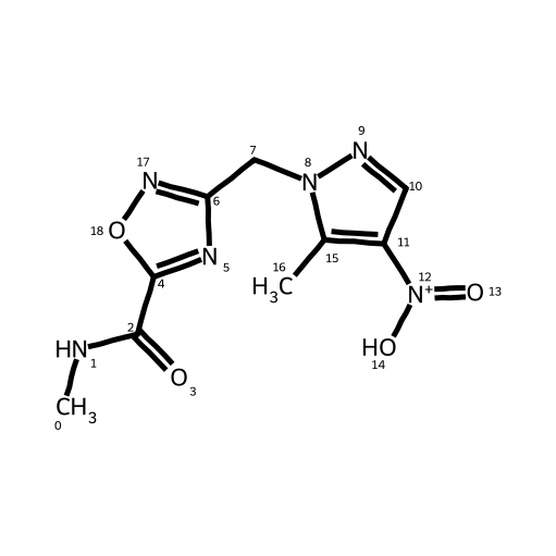 CNC(=O)c1nc(Cn2ncc([N+](=O)O)c2C)no1